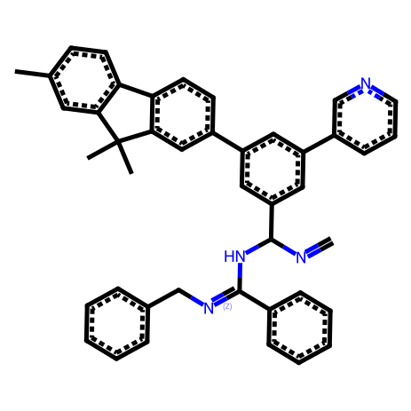 C=NC(N/C(=N\Cc1ccccc1)c1ccccc1)c1cc(-c2cccnc2)cc(-c2ccc3c(c2)C(C)(C)c2cc(C)ccc2-3)c1